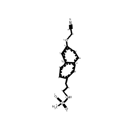 CS(=O)(=O)NCCc1ccc2cc(OCC#N)ccc2c1